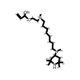 C=CC(O)OCCN(C)CCCCCCCCN(C)C1CC(C)(C)NC(C)(C)C1